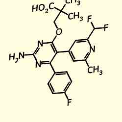 Cc1cc(-c2c(OCC(C)(C)C(=O)O)nc(N)nc2-c2ccc(F)cc2)cc(C(F)F)n1